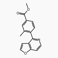 COC(=O)c1ccc(-c2nccc3occc23)c(C)c1